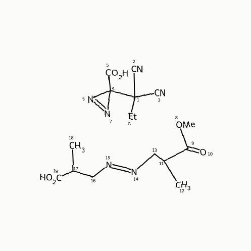 CCC(C#N)(C#N)C1(C(=O)O)N=N1.COC(=O)C(C)CN=NCC(C)C(=O)O